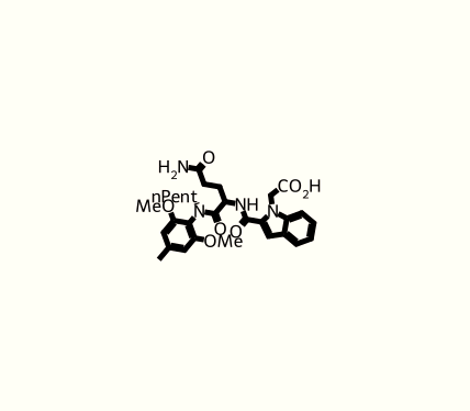 CCCCCN(C(=O)C(CCC(N)=O)NC(=O)c1cc2ccccc2n1CC(=O)O)c1c(OC)cc(C)cc1OC